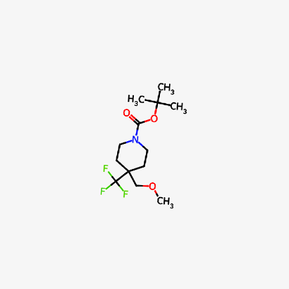 COCC1(C(F)(F)F)CCN(C(=O)OC(C)(C)C)CC1